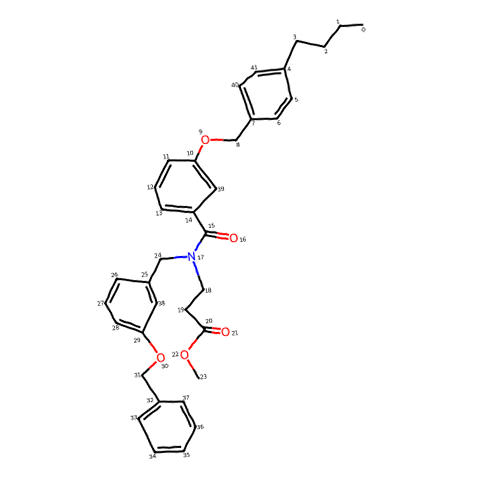 CCCCc1ccc(COc2cccc(C(=O)N(CCC(=O)OC)Cc3cccc(OCc4ccccc4)c3)c2)cc1